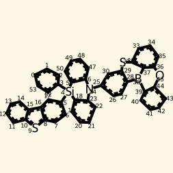 c1ccc([Si]2(c3ccc4sc5ccccc5c4c3)c3ccccc3N(c3ccc4c(c3)Sc3cccc5c3B4c3ccccc3O5)c3ccccc32)cc1